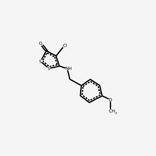 COc1ccc(CNc2ssc(=O)c2Cl)cc1